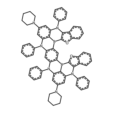 c1ccc(N2c3cc4c(cc3B3c5oc6ccccc6c5N(c5ccccc5)c5cc(N6CCCCC6)cc2c53)B2c3oc5ccccc5c3N(c3ccccc3)c3cc(N5CCCCC5)cc(c32)N4c2ccccc2)cc1